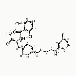 Cc1ccnc(NCCCOc2ccc(C[C@H](NC(=O)c3c(Cl)cccc3Cl)C(=O)O)cc2)c1